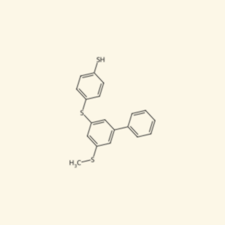 CSc1cc(Sc2ccc(S)cc2)cc(-c2ccccc2)c1